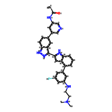 CCCC(=O)Nc1cncc(-c2ccc3[nH]nc(-c4cc5c(-c6cc(F)cc(NCCN(C)C)c6)cccc5[nH]4)c3c2)c1